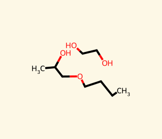 CCCCOCC(C)O.OCCO